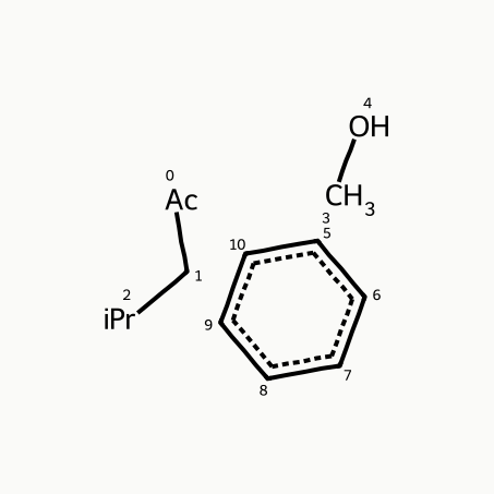 CC(=O)CC(C)C.CO.c1ccccc1